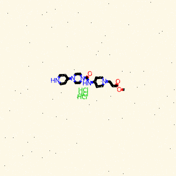 COC(=O)CCN1CCC(NC(=O)N2CCN(C3CCNCC3)CC2)CC1.Cl.Cl.Cl